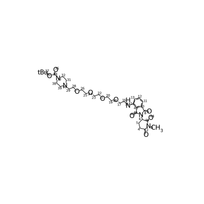 CN1C(=O)CCC(N2C(=O)c3cccc(NCCOCCOCCOCCOCCN4CCN(C(=O)OC(C)(C)C)CC4)c3C2=O)C1=O